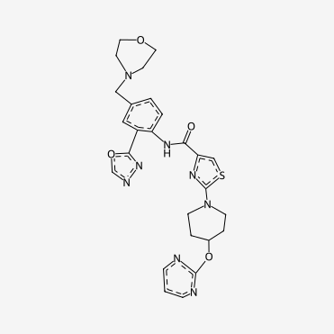 O=C(Nc1ccc(CN2CCOCC2)cc1-c1nnco1)c1csc(N2CCC(Oc3ncccn3)CC2)n1